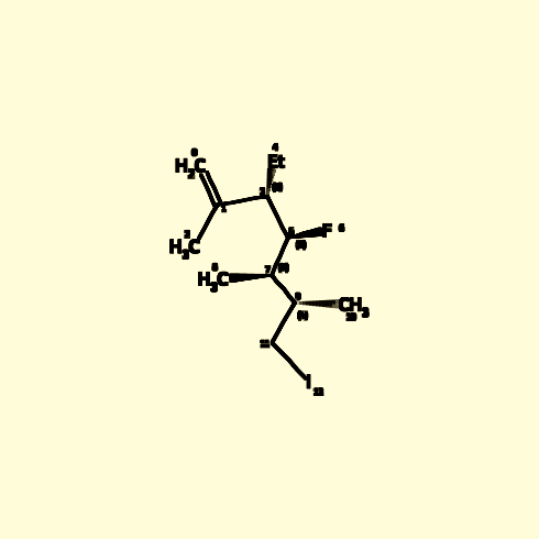 C=C(C)[C@H](CC)[C@@H](F)[C@H](C)[C@H](C)CI